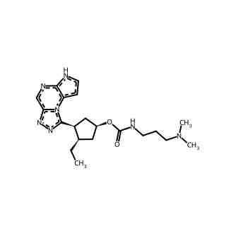 CC[C@@H]1C[C@H](OC(=O)NCCCN(C)C)C[C@@H]1c1nnc2cnc3[nH]ccc3n12